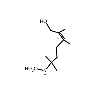 C/C(CO)=C(\C)CCC(C)(C)NC(=O)O